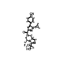 C[C@H]1CN(C(=O)c2cc(-c3ccc(C#N)cc3)n(C3CC3)n2)Cc2cnc(C(C)(O)C(F)(F)F)n21